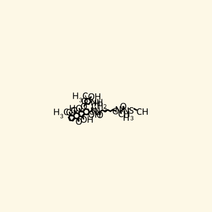 C#CCSCNC(=O)/C(C)=N/OCCCCCC(=O)N/N=C(\CC)[C@]1(O)Cc2c(O)c3c(c(O)c2[C@@H](OC2CC(N)C(O)[C@H](C)O2)C1)C(=O)c1c(OC)cccc1C3=O